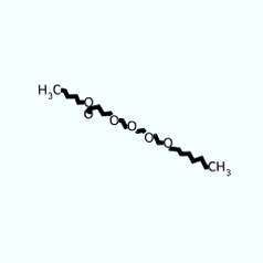 CCCCCCCCOCCOCCOCCOCCCC(=O)OCCCCC